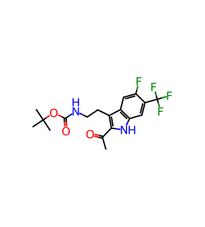 CC(=O)c1[nH]c2cc(C(F)(F)F)c(F)cc2c1CCNC(=O)OC(C)(C)C